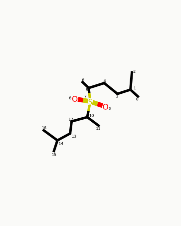 CC(C)CCC(C)S(=O)(=O)C(C)CCC(C)C